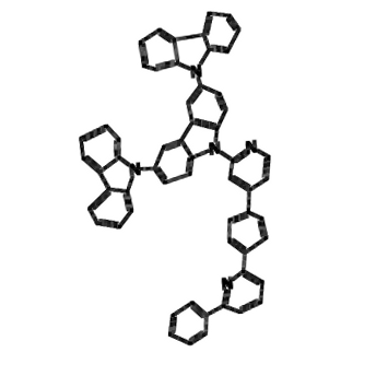 c1ccc(-c2cccc(-c3ccc(-c4ccnc(-n5c6ccc(-n7c8ccccc8c8ccccc87)cc6c6cc(-n7c8ccccc8c8ccccc87)ccc65)c4)cc3)n2)cc1